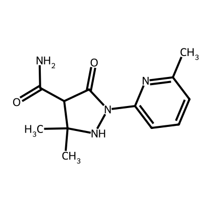 Cc1cccc(N2NC(C)(C)C(C(N)=O)C2=O)n1